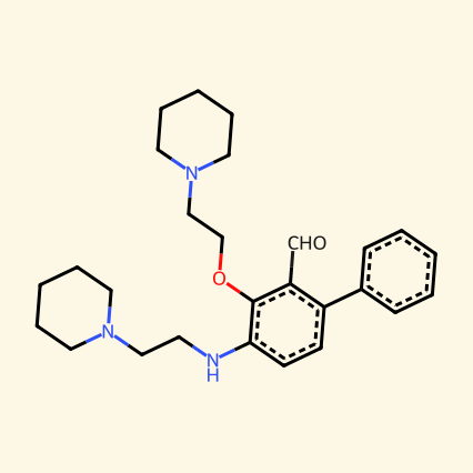 O=Cc1c(-c2ccccc2)ccc(NCCN2CCCCC2)c1OCCN1CCCCC1